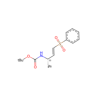 CC(C)[C@@H](C=CS(=O)(=O)c1ccccc1)NC(=O)OC(C)(C)C